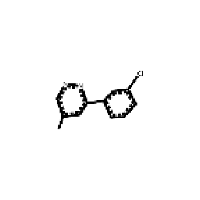 Cc1cnnc(-c2cccc(Cl)c2)c1